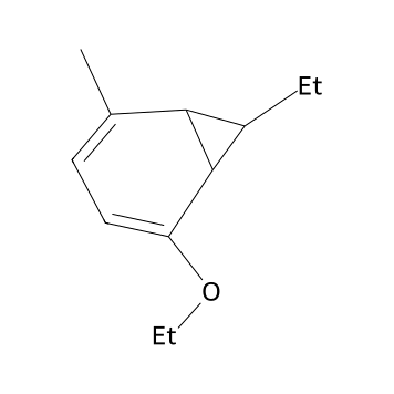 CCOC1=CC=C(C)C2C(CC)C12